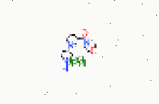 Cl.Cl.O=C(C1CCCN(C2CCNCC2)C1)N1CCOCC1